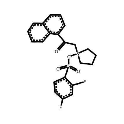 O=C(CS1(OS(=O)(=O)c2ccc(F)cc2F)CCCC1)c1cccc2ccccc12